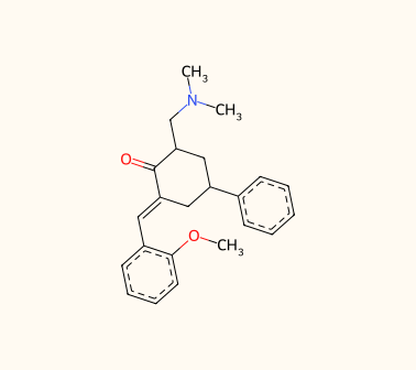 COc1ccccc1C=C1CC(c2ccccc2)CC(CN(C)C)C1=O